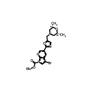 C[C@@H]1CN(Cc2cnc(-c3cnc4c(c3)c(Br)cn4C(=O)OC(C)(C)C)o2)C[C@H](C)O1